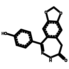 O=C1Cc2cc3c(cc2C(c2ccc(O)cc2)=NN1)OCO3